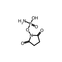 NP(=O)(O)ON1C(=O)CCC1=O